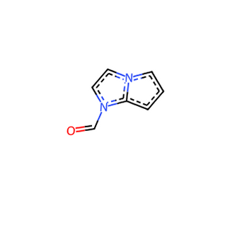 O=Cn1ccn2cccc12